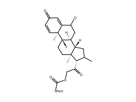 CCCCCC(=O)OCC(=O)[C@H]1C(C)C[C@H]2[C@@H]3CC(Cl)C4=CC(=O)C=C[C@]4(C)[C@@]3(F)CC[C@]12C